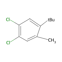 Cc1cc(Cl)c(Cl)cc1C(C)(C)C